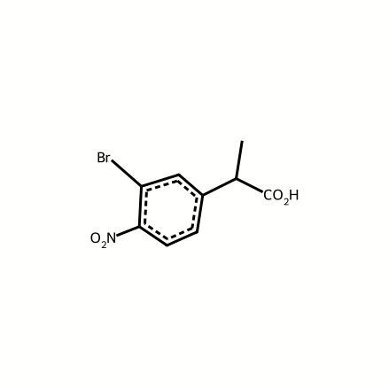 CC(C(=O)O)c1ccc([N+](=O)[O-])c(Br)c1